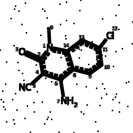 Cn1c(=O)c(C#N)c(N)c2ccc(Cl)cc21